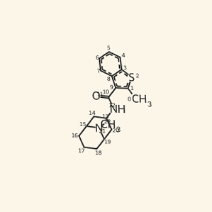 Cc1sc2ccccc2c1C(=O)NC1CC2CCCC(C1)N2C